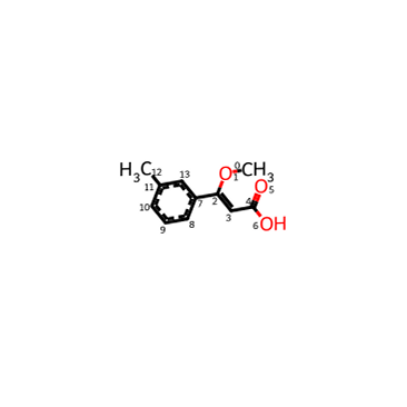 COC(=CC(=O)O)c1cccc(C)c1